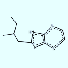 CCC(C)Cc1nc2nccnc2[nH]1